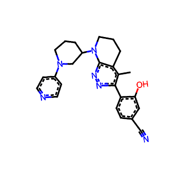 Cc1c(-c2ccc(C#N)cc2O)nnc2c1CCCN2C1CCCN(c2ccncc2)C1